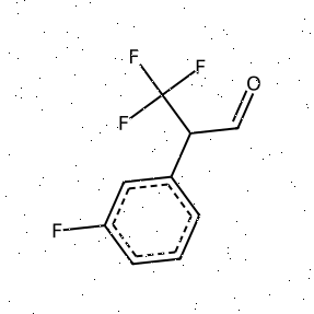 O=CC(c1cccc(F)c1)C(F)(F)F